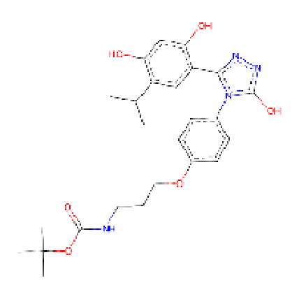 CC(C)c1cc(-c2nnc(O)n2-c2ccc(OCCCNC(=O)OC(C)(C)C)cc2)c(O)cc1O